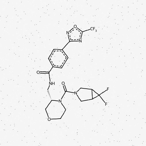 O=C(NC[C@H]1COCCN1C(=O)N1CC2C(C1)C2(F)F)c1ccc(-c2noc(C(F)(F)F)n2)cc1